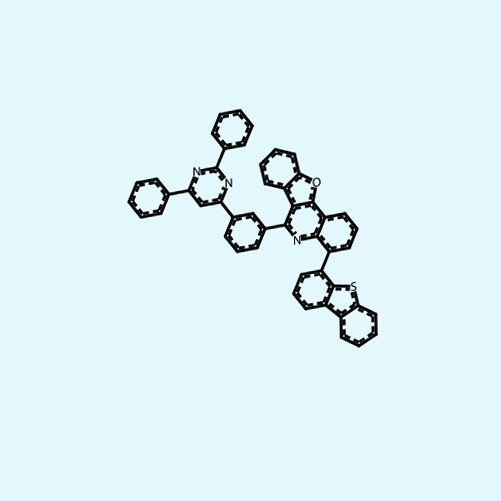 c1ccc(-c2cc(-c3cccc(-c4nc5c(-c6cccc7c6sc6ccccc67)cccc5c5oc6ccccc6c45)c3)nc(-c3ccccc3)n2)cc1